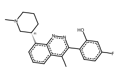 Cc1c(-c2ccc(F)cc2O)nnc2c([C@H]3CCCN(C)C3)cccc12